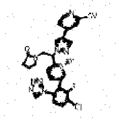 N#Cc1cc(-c2cnn(C(CN3CCCC3=O)c3ccc(-c4c(-n5cnnn5)ccc(Cl)c4F)c[n+]3[O-])c2)ccn1